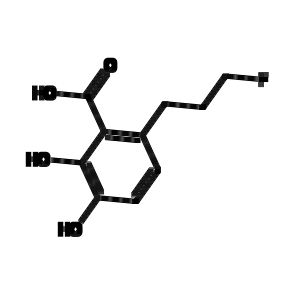 O=C(O)c1c(CCCF)ccc(O)c1O